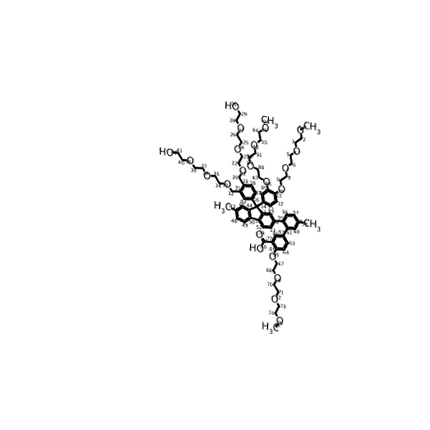 COCCOCCOCCOc1ccc(C2(c3ccc(COCCOCCOCCO)c(COCCOCCOCCO)c3)c3cc(C)ccc3-c3ccc(-c4ccc(C)cc4-c4ccc(OCCOCCOCCOC)c(C(=O)O)c4)cc32)cc1OCCOCCOCCOC